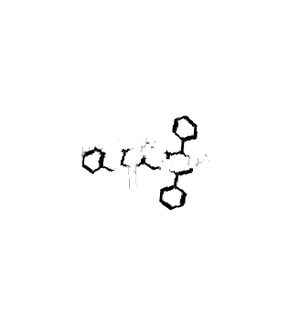 CC(=O)N1C=C(c2ccccc2)N(CC(=O)N[C@@H](Cc2ccccc2)C(O)C(=O)O)C(=O)C1c1ccccc1